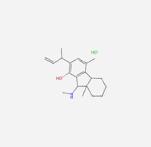 C=CC(C)c1cc(C)c2c(c1O)C(NC)C1(C)CCCCC21.Cl